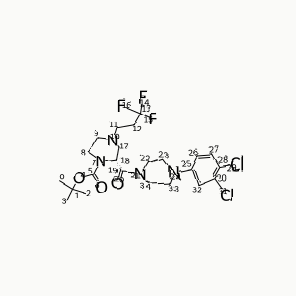 CC(C)(C)OC(=O)N1CCN(CCC(F)(F)F)C[C@@H]1C(=O)N1CCN(c2ccc(Cl)c(Cl)c2)CC1